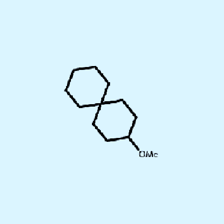 COC1CCC2(CCCCC2)CC1